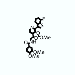 COCOc1c(C(=O)CNC(=O)c2ccc(OC)c(OC)c2)ccnc1-c1csc2c(F)cccc12